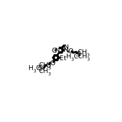 CCc1cc(OCOCC[Si](C)(C)C)ccc1-c1cc2c(cnn2COCC[Si](C)(C)C)c[n+]1[O-]